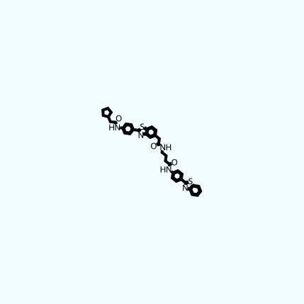 O=C(Cc1ccc2sc(-c3ccc(NC(=O)CC4CCCC4)cc3)nc2c1)NCCCC(=O)Nc1ccc(-c2nc3ccccc3s2)cc1